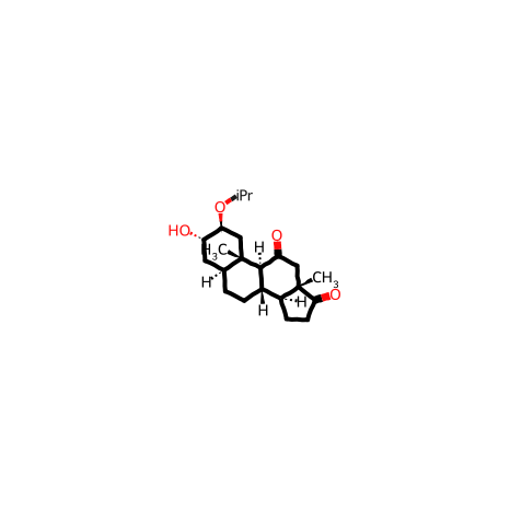 CC(C)O[C@H]1C[C@@]2(C)[C@@H](CC[C@@H]3[C@@H]2C(=O)C[C@]2(C)C(=O)CC[C@@H]32)C[C@@H]1O